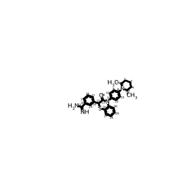 C[C@@H]1CCC[C@H](C)N1c1ccc(N2C(=O)C(c3cccc(C(=N)N)c3)Sc3ccccc32)cc1